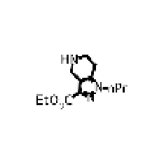 CCCn1nc(C(=O)OCC)c2c1CCNC2